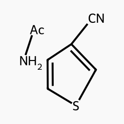 CC(N)=O.N#Cc1ccsc1